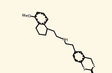 COc1cccc2c1CCCC2CCNCCc1ccc2c(c1)CSC(=O)S2